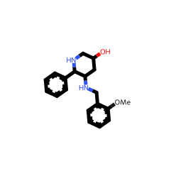 COc1ccccc1CNC1CC(O)CNC1c1ccccc1